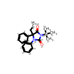 CCC1(c2ccccc2)C(=O)N([Si](C)(C)C)C(=O)N1c1ccccc1